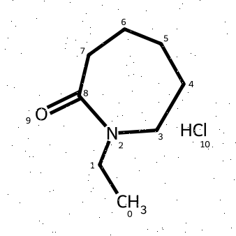 CCN1CCCCCC1=O.Cl